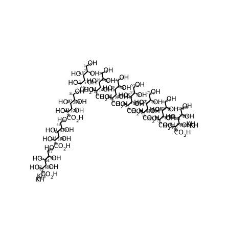 O=C(O)[C@H](O)[C@@H](O)[C@H](O)[C@H](O)CO.O=C(O)[C@H](O)[C@@H](O)[C@H](O)[C@H](O)CO.O=C(O)[C@H](O)[C@@H](O)[C@H](O)[C@H](O)CO.O=C(O)[C@H](O)[C@@H](O)[C@H](O)[C@H](O)CO.O=C(O)[C@H](O)[C@@H](O)[C@H](O)[C@H](O)CO.O=C(O)[C@H](O)[C@@H](O)[C@H](O)[C@H](O)CO.O=C(O)[C@H](O)[C@@H](O)[C@H](O)[C@H](O)CO.O=C(O)[C@H](O)[C@@H](O)[C@H](O)[C@H](O)CO.O=C(O)[C@H](O)[C@@H](O)[C@H](O)[C@H](O)CO.O=C(O)[C@H](O)[C@@H](O)[C@H](O)[C@H](O)CO.[KH].[KH].[KH].[KH]